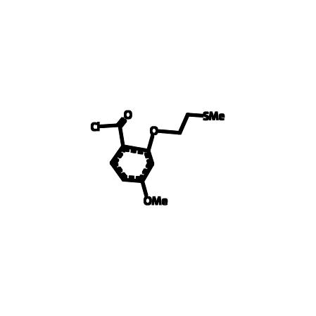 COc1ccc(C(=O)Cl)c(OCCSC)c1